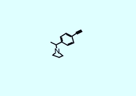 C#Cc1ccc(C(C)N2CCC2)cc1